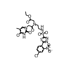 CCOC(=O)CN(CCNS(=O)(=O)c1nnc(-c2ccc(Cl)cc2[N+](=O)[O-])s1)C(=O)Cn1cc(C)c(=O)[nH]c1=O